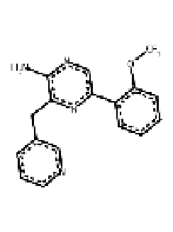 Nc1ncc(-c2ccccc2OC(F)(F)F)nc1Cc1cccnc1